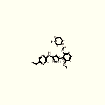 CCc1cnc(Nc2cc(-c3c(OC)cccc3OC[C@H]3CCCNC3)[nH]n2)cn1